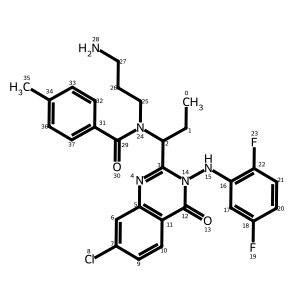 CCC(c1nc2cc(Cl)ccc2c(=O)n1Nc1cc(F)ccc1F)N(CCCN)C(=O)c1ccc(C)cc1